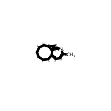 CC1=CC=C2CCCCCCC3CC23C=N1